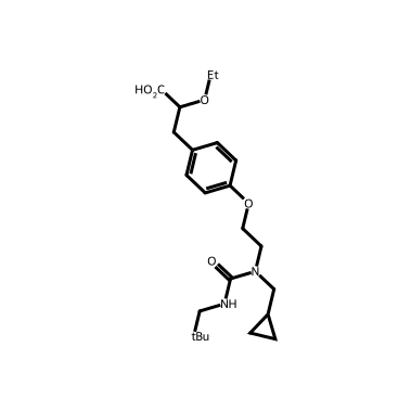 CCOC(Cc1ccc(OCCN(CC2CC2)C(=O)NCC(C)(C)C)cc1)C(=O)O